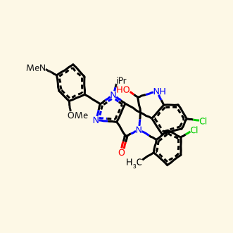 CNc1ccc(-c2nc3c(n2C(C)C)C2(c4ccc(Cl)cc4NC2O)N(c2cc(Cl)ccc2C)C3=O)c(OC)c1